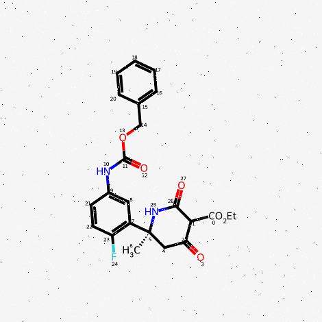 CCOC(=O)C1C(=O)C[C@@](C)(c2cc(NC(=O)OCc3ccccc3)ccc2F)NC1=O